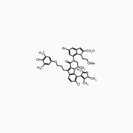 COCCn1c(C(=O)O)cc2cc(C(C)C)cc(N3C[C@@H](C)n4c(c(CCCOc5cc(C)c(Cl)c(C)c5)c5ccc(Cl)c(-c6c(C)nn(C)c6C)c54)C3=O)c21